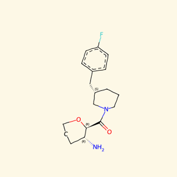 N[C@@H]1CCCO[C@H]1C(=O)N1CCC[C@@H](Cc2ccc(F)cc2)C1